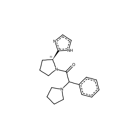 O=C(C(c1ccccc1)N1CCCC1)N1CCC[C@H]1c1ncc[nH]1